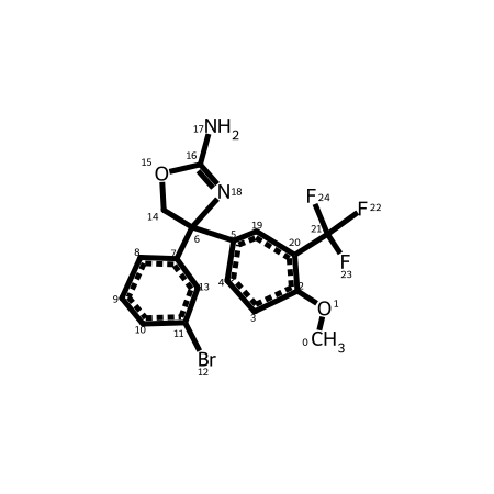 COc1ccc(C2(c3cccc(Br)c3)COC(N)=N2)cc1C(F)(F)F